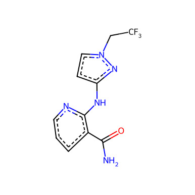 NC(=O)c1cccnc1Nc1ccn(CC(F)(F)F)n1